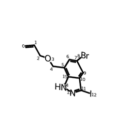 C=CCOCc1cc(Br)cc2c(I)n[nH]c12